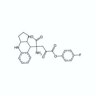 NC(CC(=O)C(=O)Oc1ccc(F)cc1)(C(=O)O)C1c2ccccc2NC2CCCC21